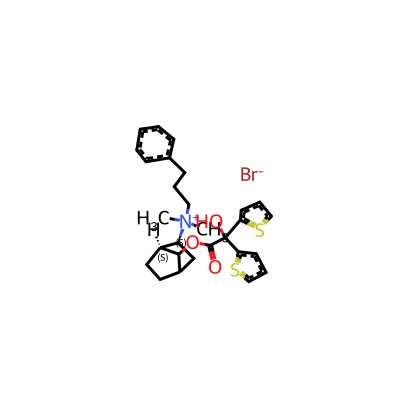 C[N+](C)(CCCc1ccccc1)[C@H]1CC2CC[C@@H]1C2OC(=O)C(O)(c1cccs1)c1cccs1.[Br-]